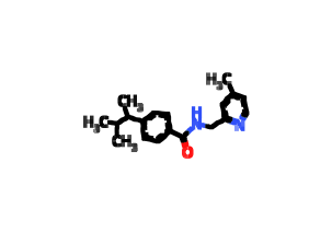 Cc1ccnc(CNC(=O)c2ccc(C(C)C(C)C)cc2)c1